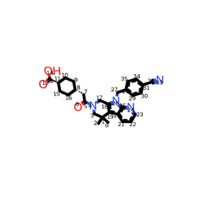 CC1(C)CN(C(=O)C[C@H]2CC[C@H](C(=O)O)CC2)Cc2c1c1cccnc1n2Cc1ccc(C#N)cc1